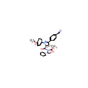 COc1ccc(N2N=C(c3ccc(C#N)cc3)[C@H](C)[C@H]2C(=O)N2C(=O)OC[C@@H]2c2ccccc2)cc1